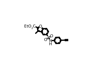 C#Cc1ccc(NS(=O)(=O)c2ccc3oc(C(=O)OCC)c(C)c3c2)cc1